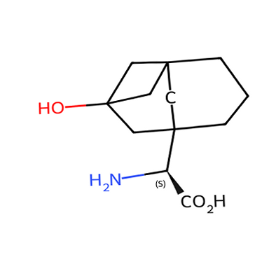 N[C@H](C(=O)O)C12CCCC3(CC(O)(C3)C1)C2